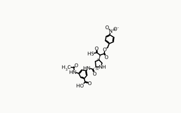 CC(=O)Nc1cc(NC(=O)[C@@H]2C[C@@H](C(C(=O)S)C(=O)OCc3ccc([N+](=O)[O-])cc3)CN2)cc(C(=O)O)c1